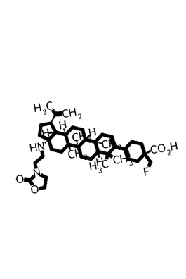 C=C(C)[C@@H]1CC[C@]2(NCCN3CCOC3=O)CC[C@]3(C)[C@H](CC[C@@H]4[C@@]5(C)CC=C(C6=CC[C@](CF)(C(=O)O)CC6)C(C)(C)[C@@H]5CC[C@]43C)[C@@H]12